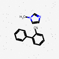 Cn1ccnc1.N#Cc1ccccc1-c1ccccc1